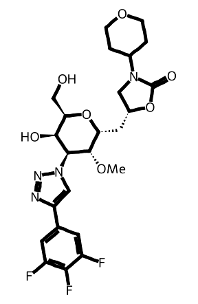 CO[C@@H]1[C@@H](n2cc(-c3cc(F)c(F)c(F)c3)nn2)[C@@H](O)[C@@H](CO)O[C@@H]1C[C@@H]1CN(C2CCOCC2)C(=O)O1